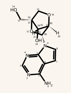 Nc1ncnc2c1ccn2[C@@H]1O[C@@]2(CO)CO[C@@H]1[C@@H]2O